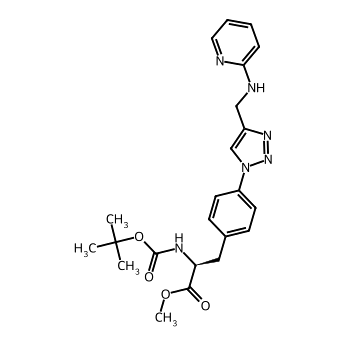 COC(=O)[C@H](Cc1ccc(-n2cc(CNc3ccccn3)nn2)cc1)NC(=O)OC(C)(C)C